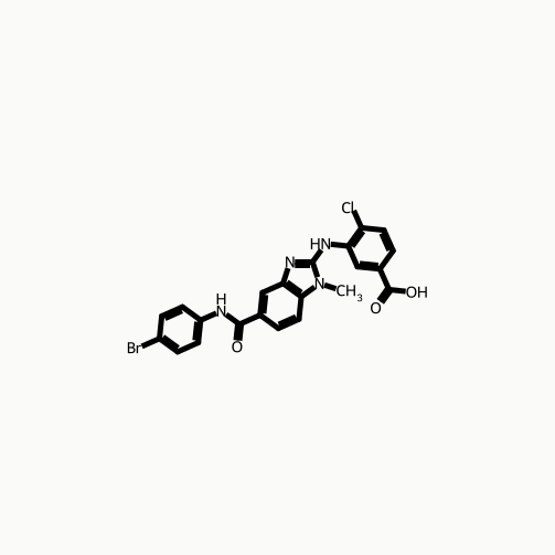 Cn1c(Nc2cc(C(=O)O)ccc2Cl)nc2cc(C(=O)Nc3ccc(Br)cc3)ccc21